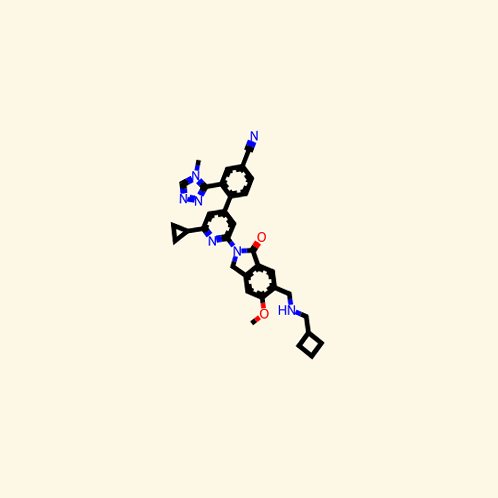 COc1cc2c(cc1CNCC1CCC1)C(=O)N(c1cc(-c3ccc(C#N)cc3-c3nncn3C)cc(C3CC3)n1)C2